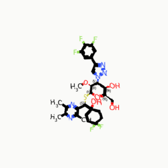 CO[C@@H]1[C@@H](n2cc(-c3cc(F)c(F)c(F)c3)nn2)[C@@H](O)[C@@H](CO)O[C@H]1S[C@@H](c1nc(C)c(C)nc1C)C1(O)CCC(F)(F)CC1